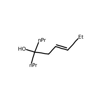 [CH2]CC=CCC(O)(CCC)CCC